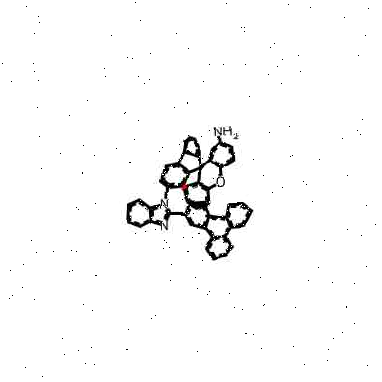 Nc1ccc2c(c1)C1(c3ccccc3O2)c2ccccc2-c2ccc(-n3c(-c4ccc5c6ccccc6c6ccccc6c5c4)nc4ccccc43)cc21